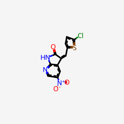 O=C1Nc2ncc([N+](=O)[O-])cc2C1=Cc1ccc(Cl)s1